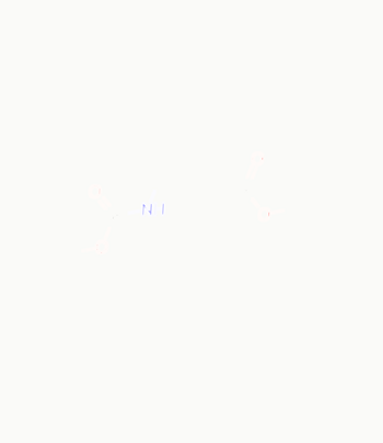 CCOC(=O)/C=C/[C@@H](C)NC(=O)OC(C)(C)C